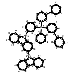 c1ccc(-c2cccc(S(c3ccccc3)(c3cccc(-c4ccccc4)c3)c3cccc(-n4c5ccccc5c5cc(-n6c7ccccc7c7ccccc76)ccc54)c3)c2)cc1